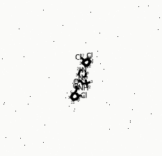 CC(C)(C)[C@@H](NC(=O)c1ccccc1Cl)C(=O)N1CCN(c2ccc(Cl)c(Cl)c2)CC1